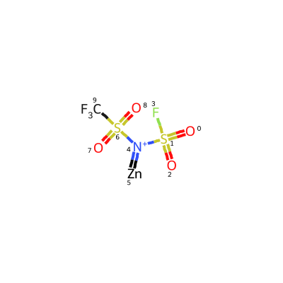 O=S(=O)(F)[N+](=[Zn])S(=O)(=O)C(F)(F)F